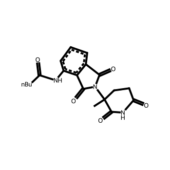 CCCCC(=O)Nc1cccc2c1C(=O)N(C1(C)CCC(=O)NC1=O)C2=O